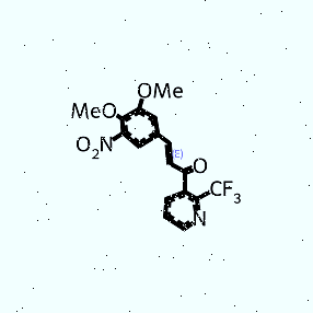 COc1cc(/C=C/C(=O)c2cccnc2C(F)(F)F)cc([N+](=O)[O-])c1OC